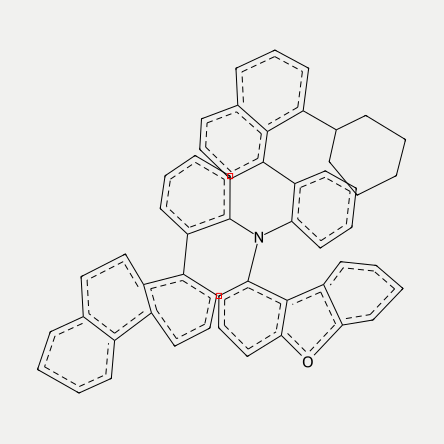 c1ccc(N(c2ccccc2-c2cccc3cccc(C4CCCCC4)c23)c2cccc3oc4ccccc4c23)c(-c2cccc3c2ccc2ccccc23)c1